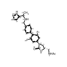 CC(=O)NC[C@H]1CN(c2cc(F)c(-c3ccc(CNC(C)c4cnn[nH]4)cc3)c(F)c2)C(=O)O1